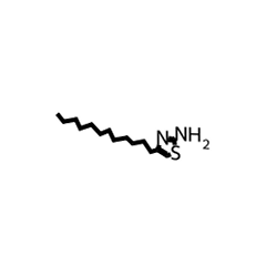 CCCCCCCCCCCCc1csc(N)n1